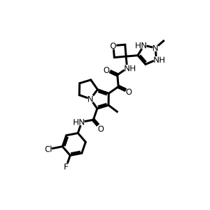 Cc1c(C(=O)C(=O)NC2(C3=CNN(C)N3)COC2)c2n(c1C(=O)NC1C=C(Cl)C(F)=CC1)CCC2